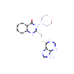 O=c1c2ccccc2nc(CSc2ncnc3[nH]cnc23)n1N1CCOCC1